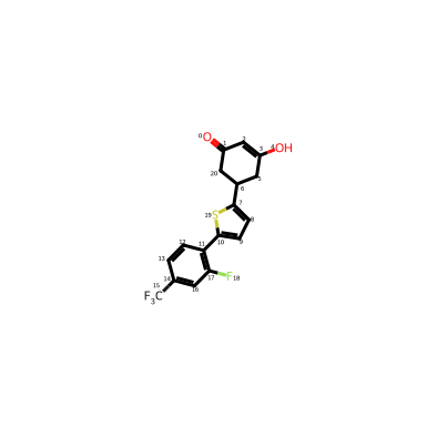 O=C1C=C(O)CC(c2ccc(-c3ccc(C(F)(F)F)cc3F)s2)C1